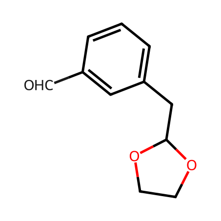 O=Cc1cccc(CC2OCCO2)c1